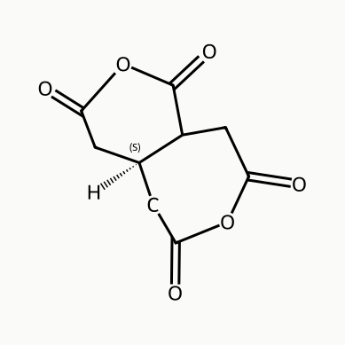 O=C1CC2C(=O)OC(=O)C[C@@H]2CC(=O)O1